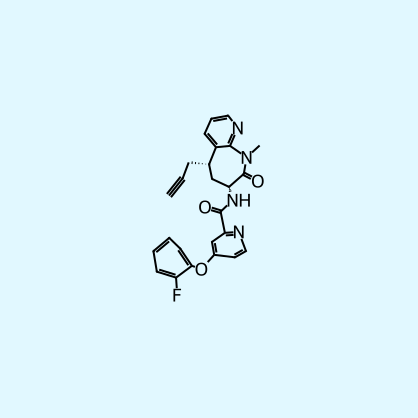 C#CC[C@H]1C[C@@H](NC(=O)c2cc(Oc3ccccc3F)ccn2)C(=O)N(C)c2ncccc21